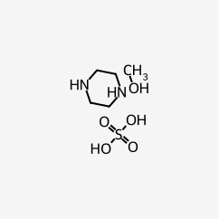 C1CNCCN1.CO.O=S(=O)(O)O